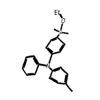 CCO[Si](C)(C)c1ccc(N(c2ccccc2)c2ccc(C)cc2)cc1